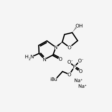 CCC(C)COP(=O)([O-])[O-].Nc1ccn([C@H]2C[C@H](O)CO2)c(=O)n1.[Na+].[Na+]